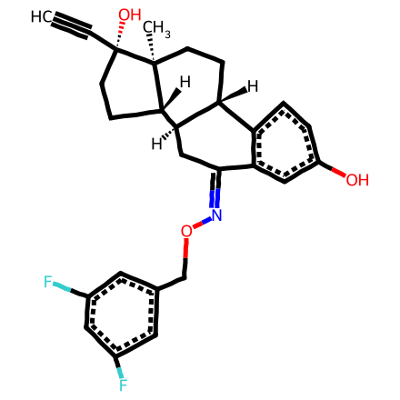 C#C[C@]1(O)CC[C@H]2[C@@H]3CC(=NOCc4cc(F)cc(F)c4)c4cc(O)ccc4[C@H]3CC[C@@]21C